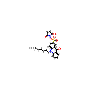 O=C(O)CCCCCn1c2ccccc2c(=O)c2cc(S(=O)(=O)ON3C(=O)CCC3=O)ccc21